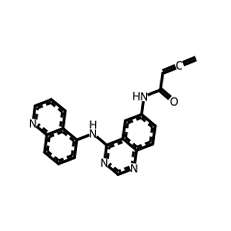 C=C=CC(=O)Nc1ccc2ncnc(Nc3cccc4ncccc34)c2c1